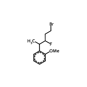 COc1ccccc1C(C)C(F)CCBr